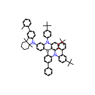 Cc1ccccc1-c1ccc2c(c1)C1(C)CCCCC1(C)N2c1ccc2c(c1)N(c1ccc(C(C)(C)C)cc1)c1cc(C(C)(C)C)cc3c1B2c1ccc(-c2ccccc2)cc1N3c1ccc(C(C)(C)C)cc1-c1ccccc1